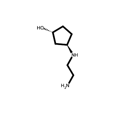 NCCN[C@@H]1CC[C@@H](O)C1